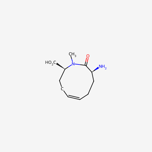 CN1C(=O)[C@@H](N)CCC=CCC[C@H]1C(=O)O